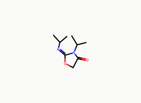 CC(C)/N=C1/OCC(=O)N1C(C)C